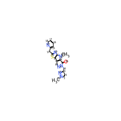 Cn1ccc(Cn2ncc3c4sc(Cc5ccccn5)nc4n(C)c3c2=O)n1